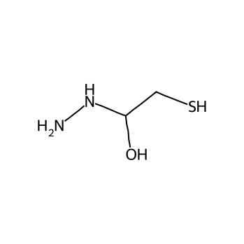 NNC(O)CS